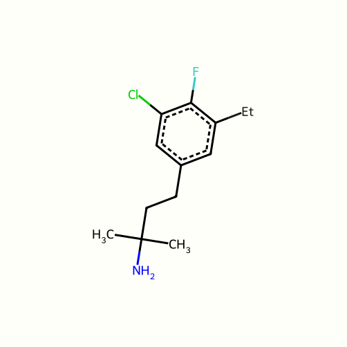 CCc1cc(CCC(C)(C)N)cc(Cl)c1F